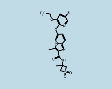 Cc1c(C(=O)NC2(C)CS(=O)(=O)C2)nc2ccc(Oc3ncc(Br)cc3OCC(F)(F)F)cn12